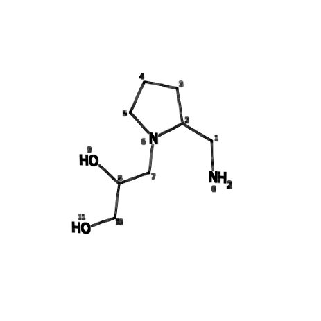 NCC1CCCN1CC(O)CO